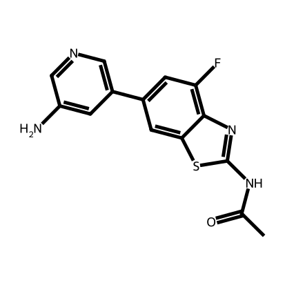 CC(=O)Nc1nc2c(F)cc(-c3cncc(N)c3)cc2s1